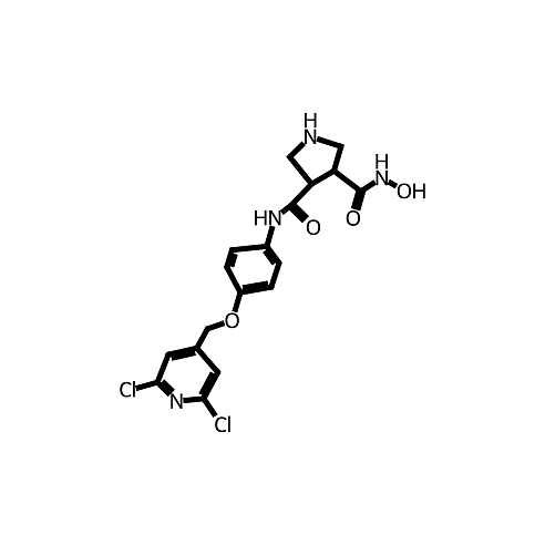 O=C(NO)C1CNCC1C(=O)Nc1ccc(OCc2cc(Cl)nc(Cl)c2)cc1